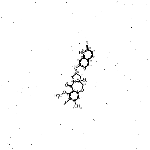 COc1c(F)c(C)cc2c1C(=O)N1C[C@@H](Oc3cc4[nH]c(=O)ccc4cn3)C[C@@H]1CO2